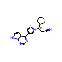 N#CC[C@H](C1CCCC1)n1cc(C2=NC=NC3NC=CC23)cn1